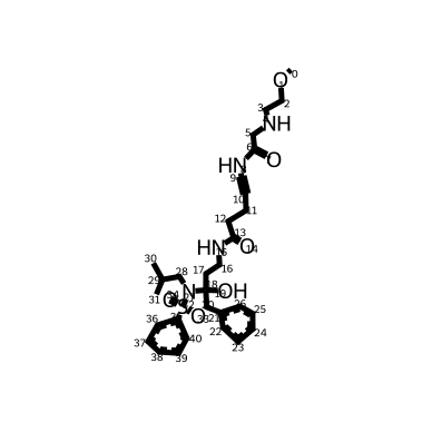 COCCNCC(=O)NC#CCCC(=O)NCCC(O)(Cc1ccccc1)N(CC(C)C)S(=O)(=O)c1ccccc1